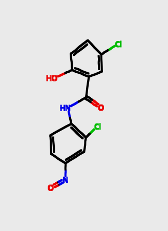 O=Nc1ccc(NC(=O)c2cc(Cl)ccc2O)c(Cl)c1